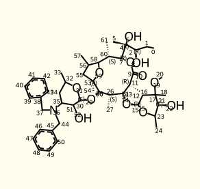 CC[C@@H](O)[C@@](C)(O)[C@@H]1OC(=O)[C@H](C)[C@@H](O[C@H]2CC(C)(OC)[C@@H](O)C(C)O2)[C@H](C)[C@@H](O[C@@H]2OC(C)CC(N(Cc3ccccc3)Cc3ccccc3)C2O)[C@@]2(C)CC(C)C(O2)[C@@H]1C